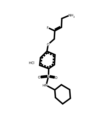 Cl.NCC=C(F)COc1ccc(S(=O)(=O)NC2CCCCC2)cc1